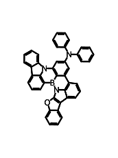 c1ccc(N(c2ccccc2)c2cc3c4c(c2)-n2c5ccccc5c5cccc(c52)B4n2c4oc5ccccc5c4c4cccc-3c42)cc1